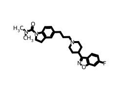 CN(C)C(=O)N1CCc2cc(CCCN3CCC(c4noc5cc(F)ccc45)CC3)ccc21